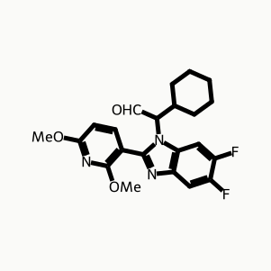 COc1ccc(-c2nc3cc(F)c(F)cc3n2C(C=O)C2CCCCC2)c(OC)n1